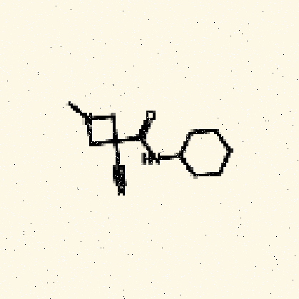 CN1CC(C#N)(C(=O)NC2CCCCC2)C1